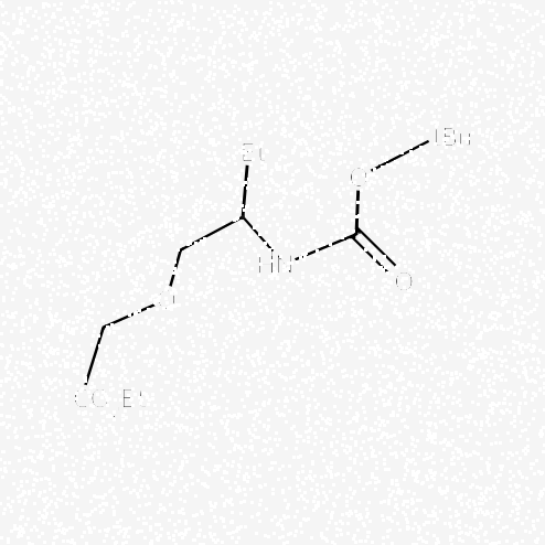 CCOC(=O)COCC(CC)NC(=O)OC(C)(C)C